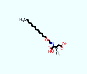 CCCCCCCCCCCCOCC=N[C@H](C(=O)O)[C@@H](C)CC(=O)O